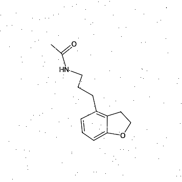 CC(=O)NCCCc1cccc2c1CCO2